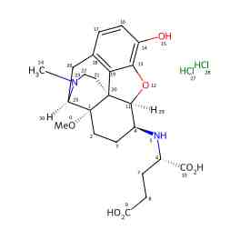 CO[C@@]12CC[C@H](N[C@@H](CCC(=O)O)C(=O)O)[C@@H]3Oc4c(O)ccc5c4[C@@]31CCN(C)[C@@H]2C5.Cl.Cl